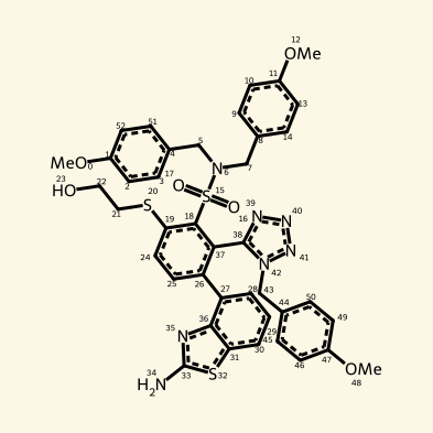 COc1ccc(CN(Cc2ccc(OC)cc2)S(=O)(=O)c2c(SCCO)ccc(-c3cccc4sc(N)nc34)c2-c2nnnn2Cc2ccc(OC)cc2)cc1